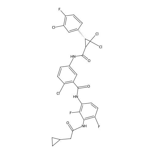 O=C(CC1CC1)Nc1c(F)ccc(NC(=O)c2cc(NC(=O)C3[C@H](c4ccc(F)c(Cl)c4)C3(Cl)Cl)ccc2Cl)c1F